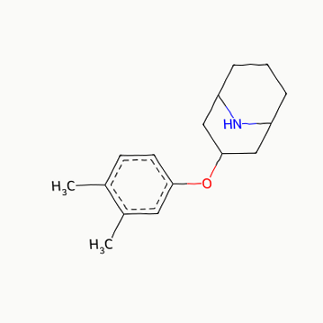 Cc1ccc(OC2CC3CCCC(C2)N3)cc1C